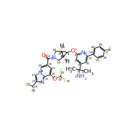 CC(C)(N)c1cc(OC2[C@H]3CN(C(=O)c4cc(OC(F)F)c5nc(C(F)F)cn5c4)C[C@@H]23)nc(-c2ccc(F)cc2)c1